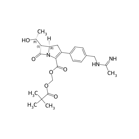 CC(=N)NCc1ccc(C2=C(C(=O)OCOC(=O)C(C)(C)C)N3C(=O)[C@H]([C@@H](C)O)[C@H]3C2)cc1